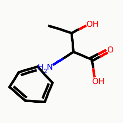 CC(O)C(N)C(=O)O.c1ccccc1